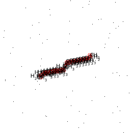 C=C(C)C(=O)OCCOC(C)OC(C)OC(C)OC(C)OC(C)OC(C)OC(C)OC(C)OC(C)OC(C)OC(C)OC(C)OC(C)OC(C)Oc1ccc(C(C)(C)c2ccc(OC(C)OC(C)OC(C)OC(C)OC(C)OC(C)OC(C)OC(C)OC(C)OC(C)OC(C)OC(C)OC(C)OC(C)OCCOC(=O)C(=C)C)cc2)cc1